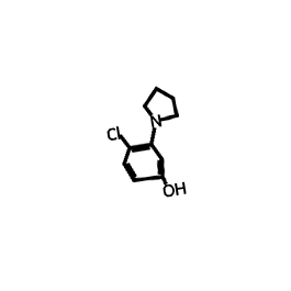 Oc1ccc(Cl)c(N2CCCC2)c1